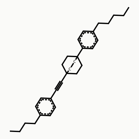 CCCCCc1ccc(C23CCC(C#Cc4ccc(CCCC)cc4)(CC2)CC3)cc1